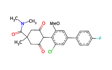 COc1cc(-c2ccc(F)cc2)cc(Cl)c1C1C(=O)CC(C)(C(=O)N(C)C)CC1=O